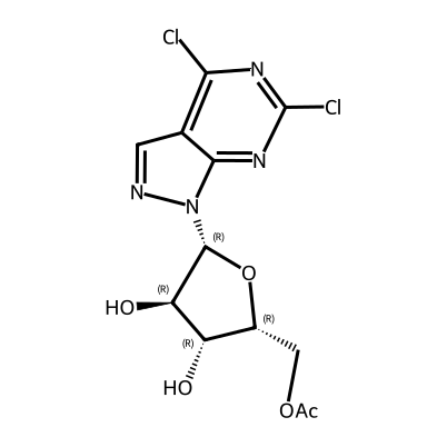 CC(=O)OC[C@H]1O[C@@H](n2ncc3c(Cl)nc(Cl)nc32)[C@H](O)[C@H]1O